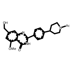 COc1cc(CO)cc2nc(-c3ccc(C4CCN(C(C)=O)CC4)cc3)[nH]c(=O)c12